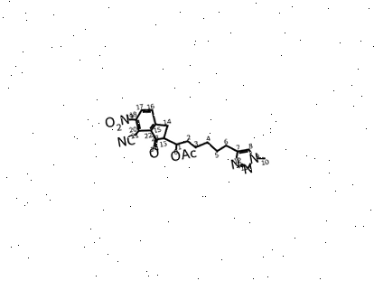 CC(=O)OC(CCCCCc1cn(C)nn1)C1Cc2ccc([N+](=O)[O-])c(C#N)c2C1=O